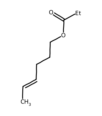 CC=CCCCOC(=O)CC